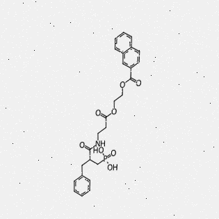 O=C(CCNC(=O)C(Cc1ccccc1)CP(=O)(O)O)OCCOC(=O)c1ccc2ccccc2c1